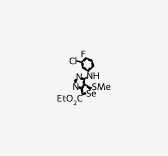 CCOC(=O)c1[se]c(SC)c2c(Nc3ccc(F)c(Cl)c3)ncnc12